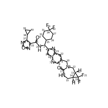 O=C(N[C@H](c1cn2ncc(CN3C[C@H]4[C@@H](CNC3=O)C4(F)F)cc2n1)C1CCC(F)(F)CC1)c1nonc1C1CC1